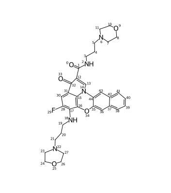 O=C(NCCCN1CCOCC1)c1cn2c3c(c(NCCCN4CCOCC4)c(F)cc3c1=O)Oc1cc3ccccc3cc1-2